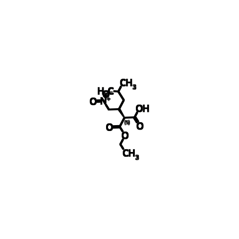 CCOC(=O)[C@H](C(=O)O)C(CC(C)C)C[N+](=O)[O-]